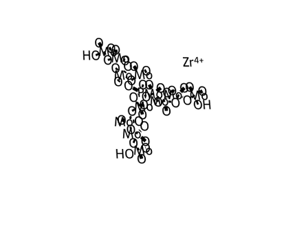 O=P([O][Mo](=[O])(=[O])[O][Mo](=[O])(=[O])[O][Mo](=[O])(=[O])[O][Mo](=[O])(=[O])[OH])([O][Mo](=[O])(=[O])[O][Mo](=[O])(=[O])[O][Mo](=[O])(=[O])[O][Mo](=[O])(=[O])[OH])[O][Mo](=[O])(=[O])[O][Mo](=[O])(=[O])[O][Mo](=[O])(=[O])[O][Mo](=[O])(=[O])[OH].[Zr+4]